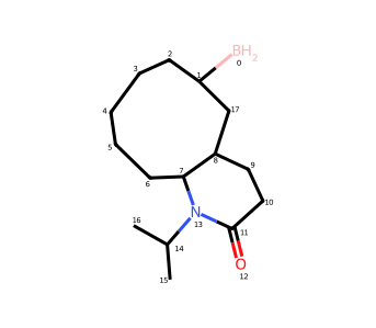 BC1CCCCCC2C(CCC(=O)N2C(C)C)C1